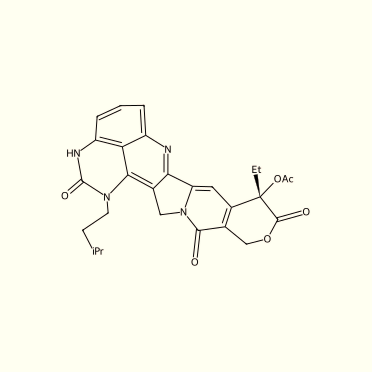 CC[C@@]1(OC(C)=O)C(=O)OCc2c1cc1n(c2=O)Cc2c-1nc1cccc3c1c2N(CCC(C)C)C(=O)N3